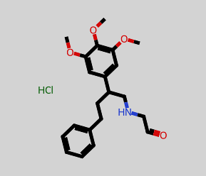 COc1cc(C(CCc2ccccc2)CNCC=O)cc(OC)c1OC.Cl